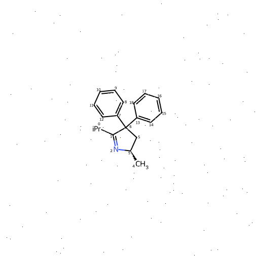 CC(C)C1=N[C@H](C)CC1(c1ccccc1)c1ccccc1